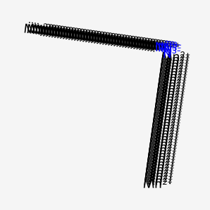 [Mn+2].[Mn+2].[Mn+2].[Mn+2].[Mn+2].[Mn+2].[Mn+2].[Mn+2].[Mn+2].[Mn+2].[Mn+2].[Mn+2].[Mn+2].[Mn+2].[Mn+2].[Mn+2].[Mn+2].[Mn+2].[Mn+2].[Mn+2].[Mn+2].[Mn+2].[Mn+2].[Mn+2].[Mn+2].[Mn+2].[Mn+2].[Mn+2].[Mn+2].[Mn+2].[Mn+2].[Mn+2].[Mn+2].[Mn+2].[Mn+2].[Mn+2].[Mn+2].[Mn+2].[Mn+2].[Mn+2].[Mn+2].[Mn+2].[Mn+2].[Mn+2].[Mn+2].[Mn+2].[Mn+2].[Mn+2].[Mn+2].[Mn+2].[Mn+2].[Mn+2].[Mn+2].[Mn+2].[Mn+2].[Mn+2].[Mn+2].[Mn+2].[Mn+2].[Mn+2].[Mn+2].[Mn+2].[Mn+2].[Mn+2].[Mn+2].[Mn+2].[Mn+2].[Mn+2].[Mn+2].[Mn+2].[Mn+2].[Mn+2].[Mn+2].[Mn+2].[Mn+2].[Mn+2].[Mn+2].[Mn+2].[Mn+2].[Mn+2].[Mn+2].[Mn+2].[Mn+2].[Mn+2].[Mn+2].[Mn+2].[Mn+2].[Mn+2].[Mn+2].[Mn+2].[Mn+2].[Mn+2].[N-3].[N-3].[N-3].[N-3].[N-3].[N-3]